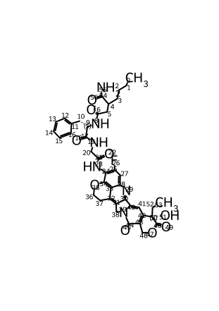 CCCCC(CC(=O)N[C@@H](Cc1ccccc1)C(=O)NCC(=O)Nc1c(F)cc2nc3c(c4c2c1OCC4)Cn1c-3cc2c(c1=O)COC(=O)[C@]2(O)CC)C(N)=O